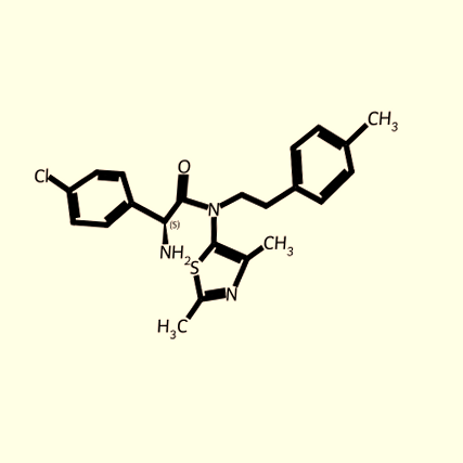 Cc1ccc(CCN(C(=O)[C@@H](N)c2ccc(Cl)cc2)c2sc(C)nc2C)cc1